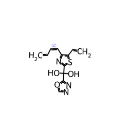 C=C/C=C\c1nc(C(O)(O)c2nnco2)sc1C=C